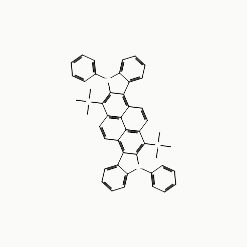 C[Si](C)(C)c1c2ccc3c4c(ccc(c24)c2c4ccccc4n(-c4ccccc4)c12)c([Si](C)(C)C)c1c3c2ccccc2n1-c1ccccc1